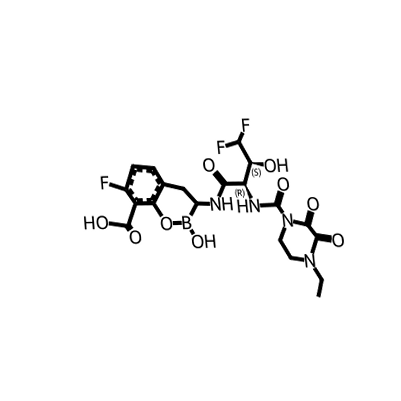 CCN1CCN(C(=O)N[C@@H](C(=O)NC2Cc3ccc(F)c(C(=O)O)c3OB2O)[C@H](O)C(F)F)C(=O)C1=O